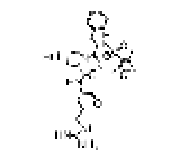 Cc1noc(C)c1S(=O)(=O)N[C@H](Cc1ccccc1)C(=O)N1CCC[C@H]1C(=O)N[C@H](C=O)CCCNC(=N)N.Cl